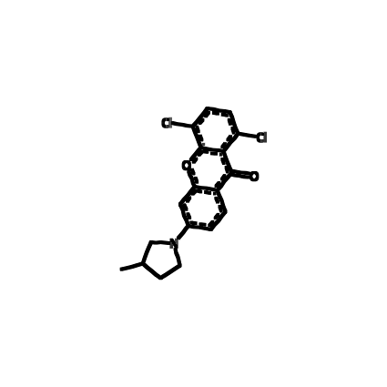 CC1CCN(c2ccc3c(=O)c4c(Cl)ccc(Cl)c4oc3c2)C1